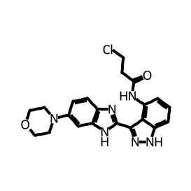 O=C(CCCl)Nc1cccc2[nH]nc(-c3nc4ccc(N5CCOCC5)cc4[nH]3)c12